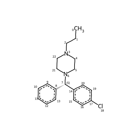 CCCN1CCN([C@@H](c2ccccc2)c2ccc(Cl)cc2)CC1